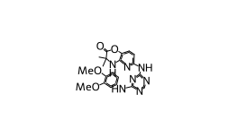 COc1ccc(Nc2ncnc(Nc3ccc4c(n3)NC(C)(C)C(=O)O4)n2)cc1OC